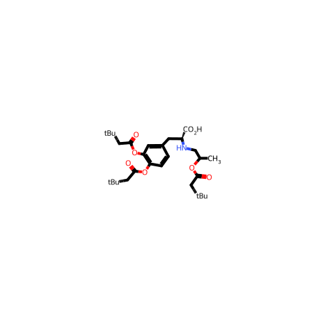 CC(CN[C@@H](Cc1ccc(OC(=O)CC(C)(C)C)c(OC(=O)CC(C)(C)C)c1)C(=O)O)OC(=O)CC(C)(C)C